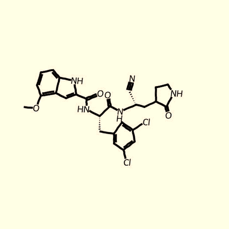 COc1cccc2[nH]c(C(=O)N[C@@H](Cc3cc(Cl)cc(Cl)c3)C(=O)N[C@H](C#N)CC3CCNC3=O)cc12